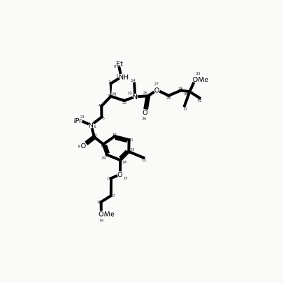 CCNC[C@H](CCN(C(=O)c1ccc(C)c(OCCCOC)c1)C(C)C)CN(C)C(=O)OCCC(C)(C)OC